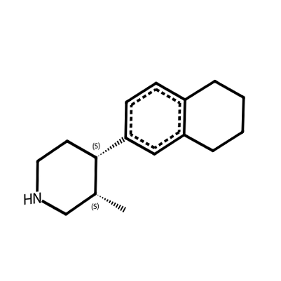 C[C@@H]1CNCC[C@@H]1c1ccc2c(c1)CCCC2